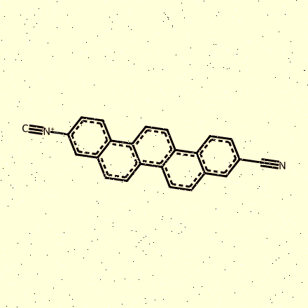 [C-]#[N+]c1ccc2c(ccc3c2ccc2c4ccc(C#N)cc4ccc23)c1